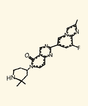 Cc1cn2cc(-c3ncc4c(=O)n([C@@H]5CCNC(C)(C)C5)ccc4n3)cc(F)c2n1